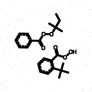 CC(C)(C)c1ccccc1C(=O)OO.CCC(C)(C)OOC(=O)c1ccccc1